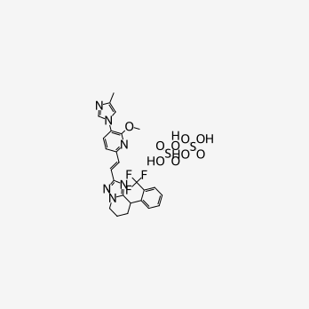 COc1nc(C=Cc2nc3n(n2)CCCC3c2ccccc2C(F)(F)F)ccc1-n1cnc(C)c1.O=S(=O)(O)O.O=S(=O)(O)O